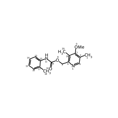 COc1c(C)cnc(COC(=O)Nc2ccccc2C)c1C